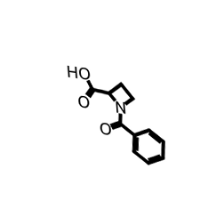 O=C(O)C1CCN1C(=O)c1ccccc1